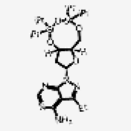 CCc1nn([C@H]2C[C@@H]3O[Si](C(C)C)(C(C)C)O[Si](C(C)C)(C(C)C)OC[C@@H]3O2)c2ncnc(N)c12